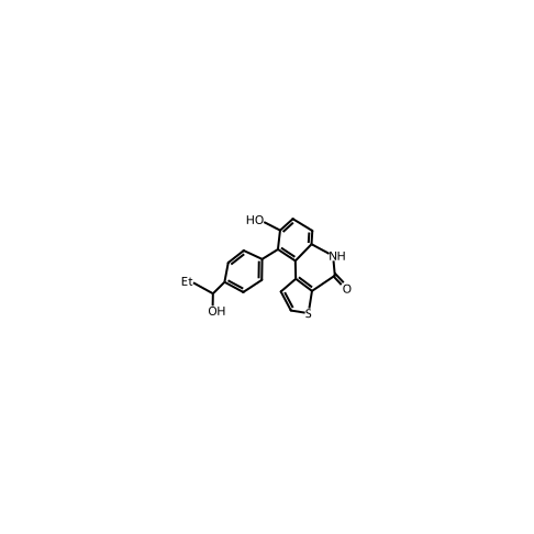 CCC(O)c1ccc(-c2c(O)ccc3[nH]c(=O)c4sccc4c23)cc1